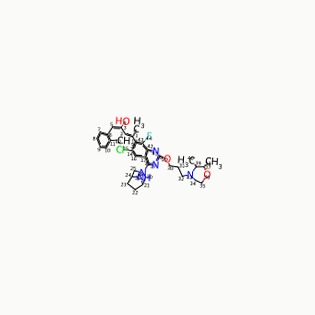 C/C(=C\C(O)=C/c1ccccc1C)c1c(Cl)cc2c(N3CC4CCC(C3)N4)nc(OCCCN3CCOC(C)C3C)nc2c1F